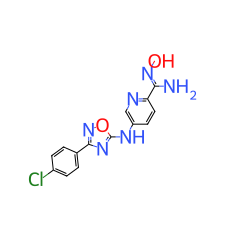 N/C(=N\O)c1ccc(Nc2nc(-c3ccc(Cl)cc3)no2)cn1